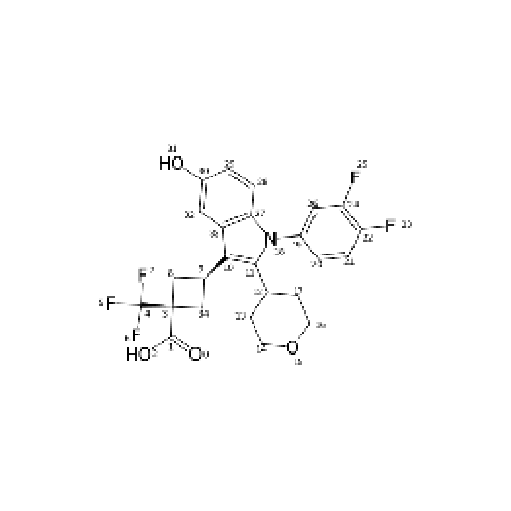 O=C(O)[C@]1(C(F)(F)F)C[C@@H](c2c(C3CCOCC3)n(-c3ccc(F)c(F)c3)c3ccc(O)cc32)C1